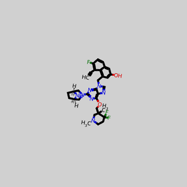 C#Cc1c(F)ccc2cc(O)cc(Cn3cnc4c(OCC5(C)CN(C)CCC5(F)F)nc(N5C[C@H]6CC[C@@H](C5)N6)nc43)c12